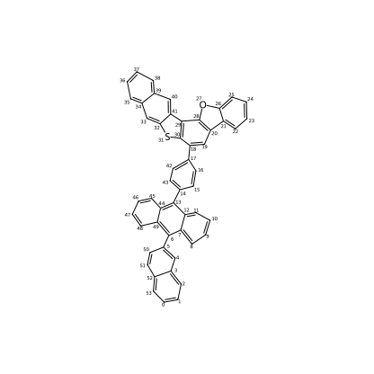 c1ccc2cc(-c3c4ccccc4c(-c4ccc(-c5cc6c7ccccc7oc6c6c5sc5cc7ccccc7cc56)cc4)c4ccccc34)ccc2c1